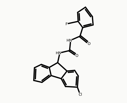 O=C(NC(=O)c1ccccc1F)NC1c2ccccc2-c2cc(Cl)ccc21